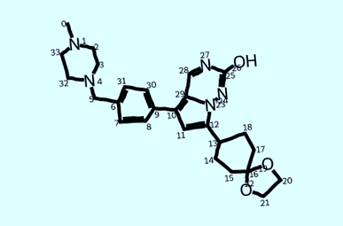 CN1CCN(Cc2ccc(-c3cc(C4CCC5(CC4)OCCO5)n4nc(O)ncc34)cc2)CC1